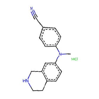 CN(c1ccc(C#N)cc1)c1ccc2c(c1)CNCC2.Cl